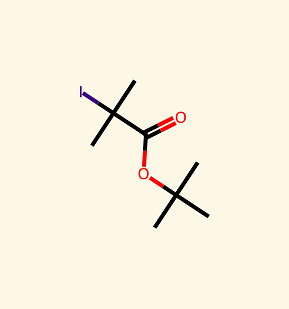 CC(C)(C)OC(=O)C(C)(C)I